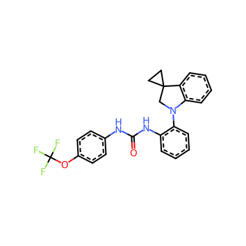 O=C(Nc1ccc(OC(F)(F)F)cc1)Nc1ccccc1N1CC2(CC2)c2ccccc21